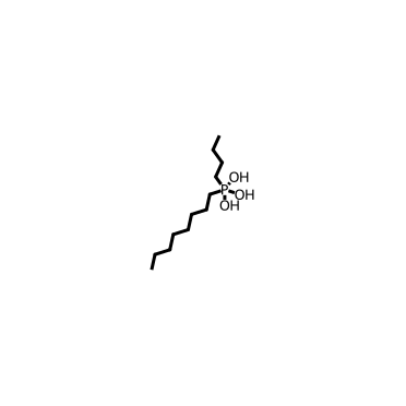 CCCCCCCCP(O)(O)(O)CCCC